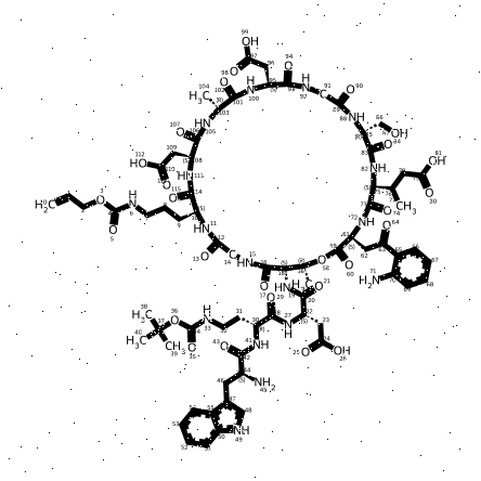 C=CCOC(=O)NCCC[C@@H]1NC(=O)CNC(=O)[C@@H](NC(=O)[C@H](CC(=O)O)NC(=O)[C@@H](CCNC(=O)OC(C)(C)C)NC(=O)[C@@H](N)Cc2c[nH]c3ccccc23)[C@@H](C)OC(=O)[C@H](CC(=O)c2ccccc2N)NC(=O)[C@H](C(C)CC(=O)O)NC(=O)[C@@H](CO)NC(=O)CNC(=O)[C@H](CC(=O)O)NC(=O)[C@@H](C)NC(=O)[C@H](CC(=O)O)NC1=O